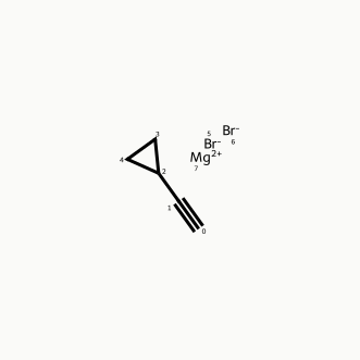 C#CC1CC1.[Br-].[Br-].[Mg+2]